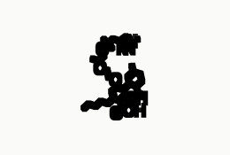 C=C(C)C1CCC(C)=CC1c1c(OCCOC(C)COC(C)(C)Cc2cn(C)nn2)cc(CCCCC)c(C(=O)O)c1O